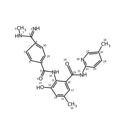 CNC(=N)c1ccc(C(=O)Nc2c(O)cc(C)cc2C(=O)Nc2ccc(C)cn2)cc1